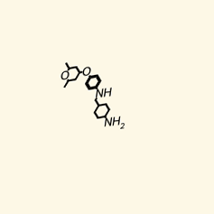 CC1CC(Oc2ccc(NCC3CCC(N)CC3)cc2)CC(C)O1